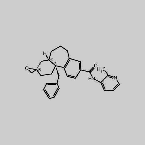 Cc1ncccc1NC(=O)c1ccc2c(c1)CCC[C@H]1C[C@]3(CC[C@@]21Cc1ccccc1)CO3